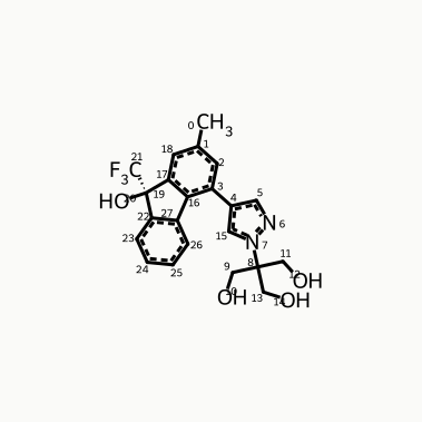 Cc1cc(-c2cnn(C(CO)(CO)CO)c2)c2c(c1)[C@@](O)(C(F)(F)F)c1ccccc1-2